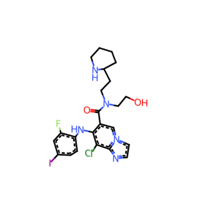 O=C(c1cn2ccnc2c(Cl)c1Nc1ccc(I)cc1F)N(CCO)CCC1CCCCN1